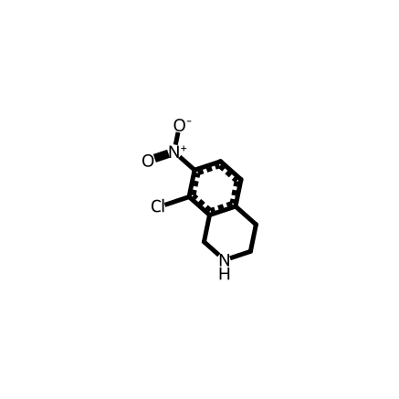 O=[N+]([O-])c1ccc2c(c1Cl)CNCC2